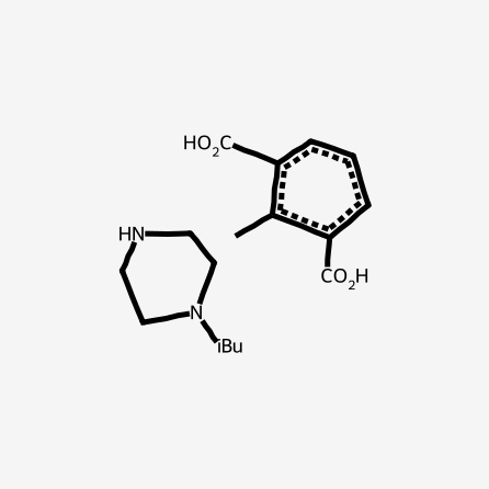 CCC(C)N1CCNCC1.Cc1c(C(=O)O)cccc1C(=O)O